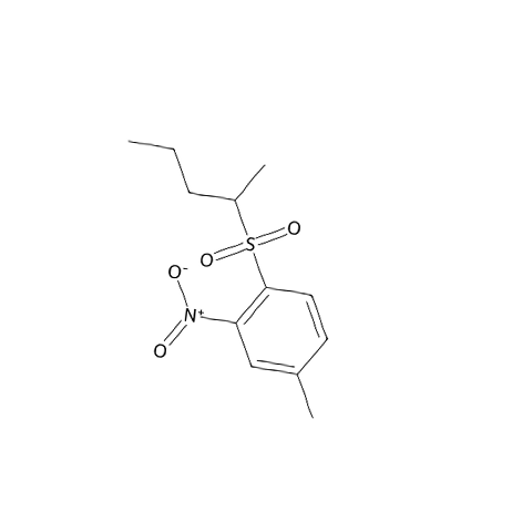 CCCC(C)S(=O)(=O)c1ccc(C)cc1[N+](=O)[O-]